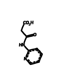 O=C(O)CC(=O)Nc1ccccn1